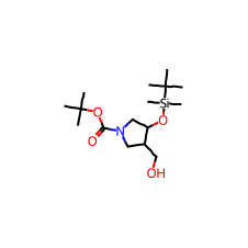 CC(C)(C)OC(=O)N1CC(CO)C(O[Si](C)(C)C(C)(C)C)C1